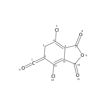 O=C=C1CC(Cl)=C2C(=O)OC(=O)C2=C1Cl